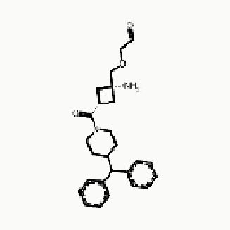 N[C@]1(COCC=O)C[C@H](C(=O)N2CCC(C(c3ccccc3)c3ccccc3)CC2)C1